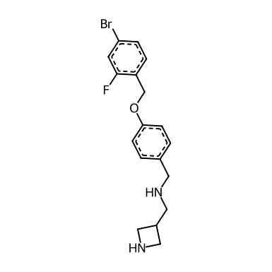 Fc1cc(Br)ccc1COc1ccc(CNCC2CNC2)cc1